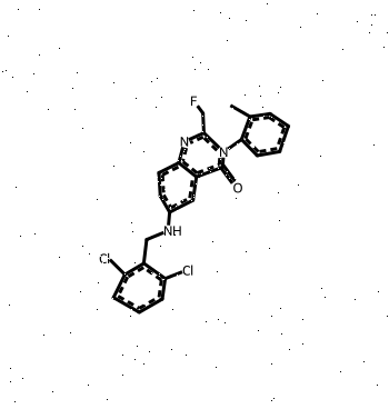 Cc1ccccc1-n1c(CF)nc2ccc(NCc3c(Cl)cccc3Cl)cc2c1=O